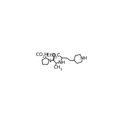 CCOC(=O)C(CCC1CCNCC1)N[C@@H](C)C(=O)N1CCC[C@H]1C(=O)O